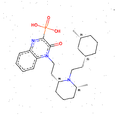 C[C@@H]1CCC[C@H](CCN2[C@@H](CCn3c(=O)c(P(=O)(O)O)nc4ccccc43)CCC[C@H]2C)C1